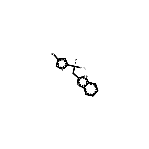 C[C@](N)(Cc1nc2ccccc2[nH]1)c1cc(Br)cs1